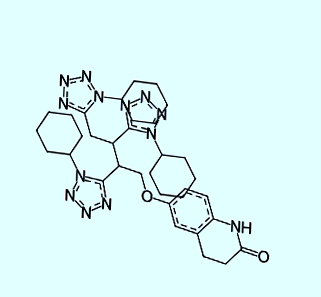 O=C1CCc2cc(OCC(c3nnnn3C3CCCCC3)C(Cc3nnnn3C3CCCCC3)c3nnnn3C3CCCCC3)ccc2N1